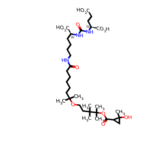 CC(C)(CCCCCC(=O)NCCCC[C@H](NC(=O)N[C@@H](CCC(=O)O)C(=O)O)C(=O)O)OCCC(C)(C)C(C)(C)OC(=O)C1CC1(C)O